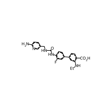 CCNc1cc(-c2ccc(NC(=O)NCc3ccc(N)nc3)c(F)c2)ccc1C(=O)O